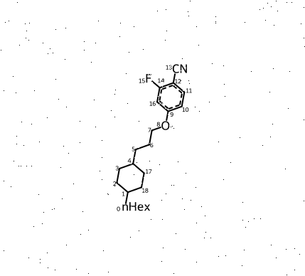 CCCCCCC1CCC(CCCOc2ccc(C#N)c(F)c2)CC1